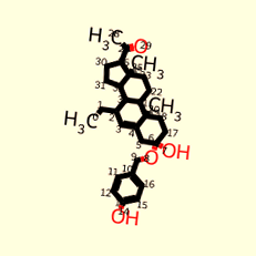 CCC1C=C2CC(O)(OCc3ccc(O)cc3)CCC2(C)C2CCC3(C)C(C(C)=O)CCC3C12